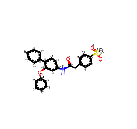 CCS(=O)(=O)c1ccc(CC(=O)Nc2ccc(-c3ccccc3)c(Oc3ccccc3)c2)cc1